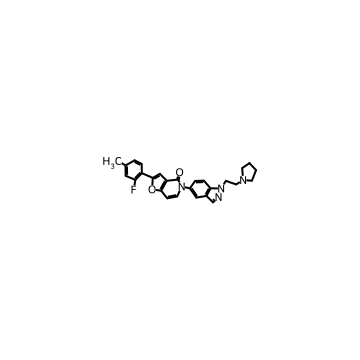 Cc1ccc(-c2cc3c(=O)n(-c4ccc5c(cnn5CCN5CCCC5)c4)ccc3o2)c(F)c1